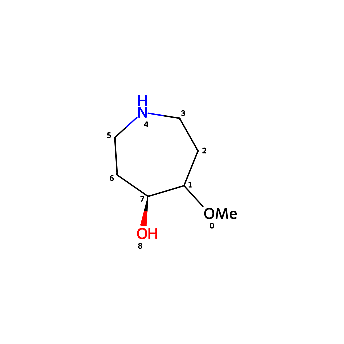 COC1CCNCC[C@@H]1O